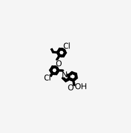 CCc1cc(Cl)ccc1COc1ccc(Cl)cc1Cn1ccc2c(C(=O)O)cccc21